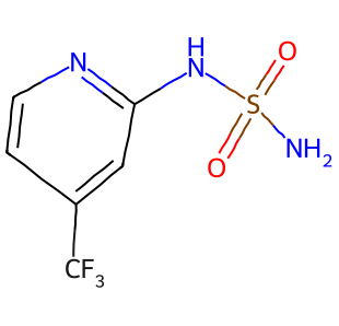 NS(=O)(=O)Nc1cc(C(F)(F)F)ccn1